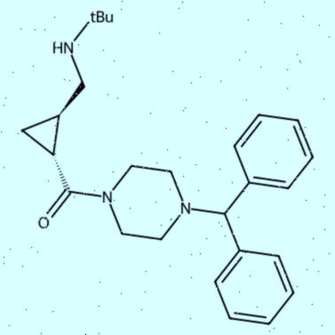 CC(C)(C)NC[C@@H]1C[C@H]1C(=O)N1CCN(C(c2ccccc2)c2ccccc2)CC1